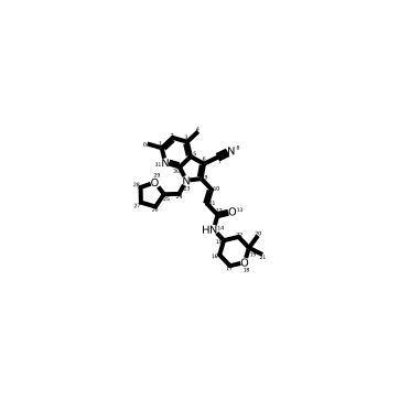 Cc1cc(C)c2c(C#N)c(/C=C/C(=O)NC3CCOC(C)(C)C3)n(CC3CCCO3)c2n1